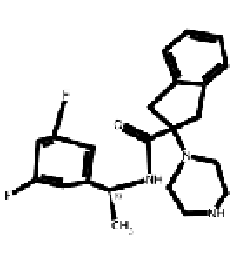 C[C@H](NC(=O)C1(N2CCNCC2)Cc2ccccc2C1)c1cc(F)cc(F)c1